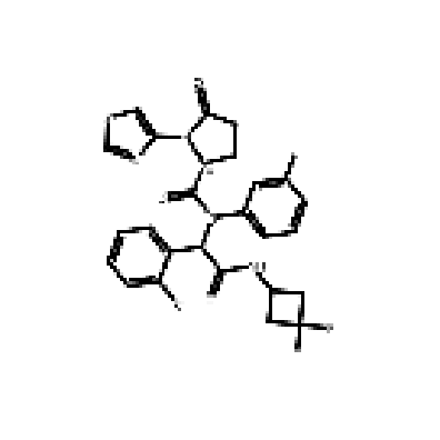 O=C(NC1CC(F)(F)C1)C(c1ccccc1Cl)N(C(=O)[C@@H]1CCC(=O)N1c1cscn1)c1cccc(F)c1